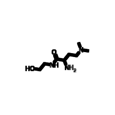 CN(C)CCC(N)C(=O)NCCO